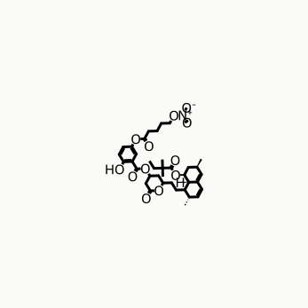 CCC(C)(C)C(=O)O[C@H]1C[C@@H](C)C=C2C=C[C@H](C)C(CCC3CC(OC(=O)c4cc(OC(=O)CCCCO[N+](=O)[O-])ccc4O)CC(=O)O3)[C@H]21